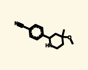 COC1(C)CCNC(c2ccc(C#N)cc2)C1